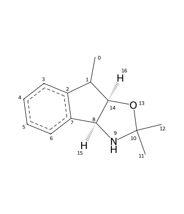 CC1c2ccccc2[C@@H]2NC(C)(C)O[C@H]12